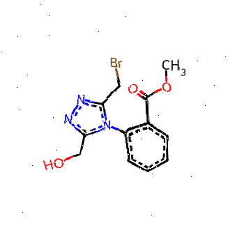 COC(=O)c1ccccc1-n1c(CO)nnc1CBr